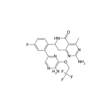 Cc1nc(N)nc2c1C(=O)NC(c1ccc(F)cc1-c1cnc(N)c(OCC(F)(F)F)n1)C2